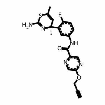 C#CCOc1cnc(C(=O)Nc2ccc(F)c([C@]3(C)C=C(C)SC(N)=N3)c2)cn1